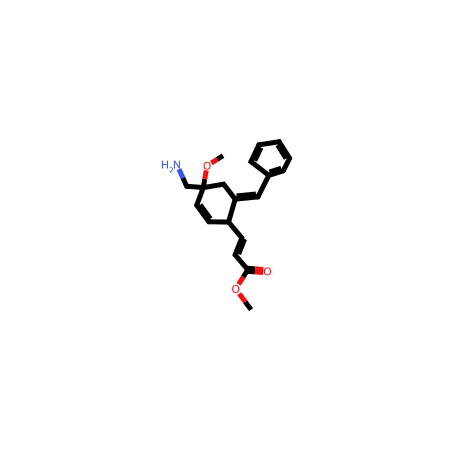 COC(=O)C=CC1C=CC(CN)(OC)CC1=Cc1ccccc1